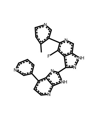 Cc1ccncc1-c1ncc2[nH]nc(-c3nc4c(-c5cccnc5)ccnc4[nH]3)c2c1F